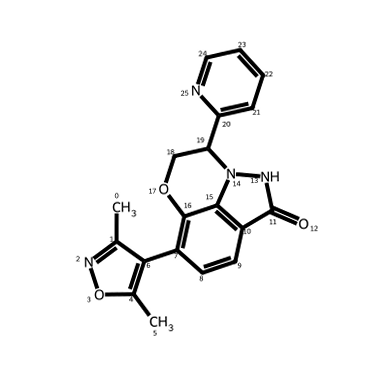 Cc1noc(C)c1-c1ccc2c(=O)[nH]n3c2c1OCC3c1ccccn1